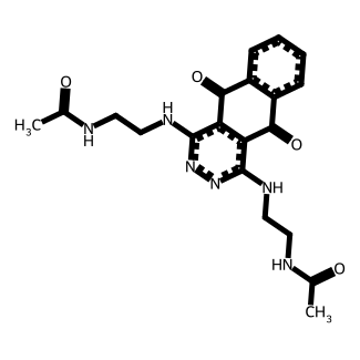 CC(=O)NCCNc1nnc(NCCNC(C)=O)c2c1C(=O)c1ccccc1C2=O